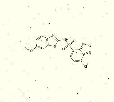 CCOc1ccc2nc(NS(=O)(=O)c3ccc(Cl)c4nonc34)sc2c1